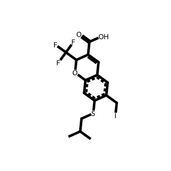 CC(C)CSc1cc2c(cc1CI)C=C(C(=O)O)C(C(F)(F)F)O2